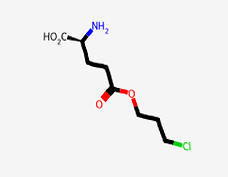 N[C@@H](CCC(=O)OCCCCl)C(=O)O